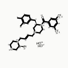 Cc1ccc(C[C@@H]2CN(CC=CCN3CCOC[C@@H]3C(C)C)CCN2C(=O)c2cc(C(F)(F)F)cc(C(F)(F)F)c2)cc1C.Cl.Cl